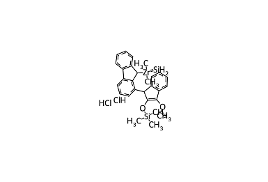 COC1=C(O[Si](C)(C)C)C(c2cccc3c2[CH]([Zr]([CH3])([CH3])=[SiH2])c2ccccc2-3)c2ccccc21.Cl.Cl